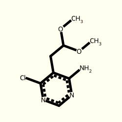 COC(Cc1c(N)ncnc1Cl)OC